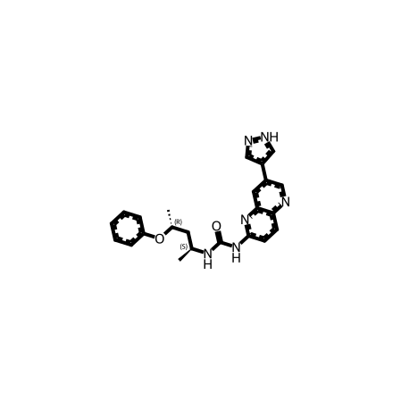 C[C@H](C[C@H](C)NC(=O)Nc1ccc2ncc(-c3cn[nH]c3)cc2n1)Oc1ccccc1